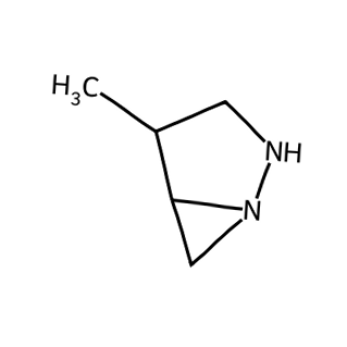 CC1CNN2CC12